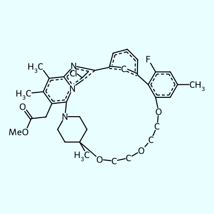 COC(=O)Cc1c(C)c(C)c2nc3c(Cl)n2c1N1CCC(C)(CC1)OCCOCCOc1cc(C)cc(F)c1-c1cccc-3c1